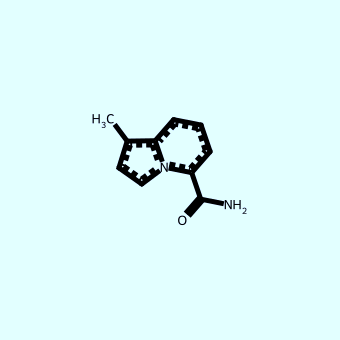 Cc1ccn2c(C(N)=O)cccc12